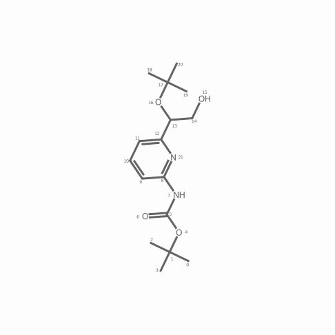 CC(C)(C)OC(=O)Nc1cccc(C(CO)OC(C)(C)C)n1